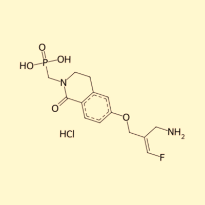 Cl.NC/C(=C\F)COc1ccc2c(c1)CCN(CP(=O)(O)O)C2=O